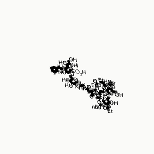 CCCCC(=O)NC1[C@H](OCCNC(=O)CCC(=O)NCCO[C@@H]2OC(CO[C@]3(C(=O)O)C[C@@H](O)[C@@H](NC(=O)Cc4ccccc4)C([C@H](O)[C@H](O)CO)O3)[C@H](O)C(O)[C@@H]2NC(C)=O)OC(CO[C@@H]2OC(CO)[C@@H](OP(=O)(O)O)C(OC(=O)C[C@@H](CC)OC(=O)CC)[C@@H]2NC(=O)C[C@@H](CC)OC(=O)CC)[C@@H](O)[C@@H]1OC(=O)CC